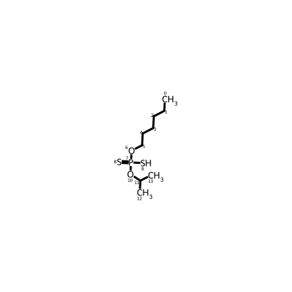 CCCCCCOP(=S)(S)OC(C)C